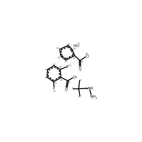 CC(C)(C)NN.Cl.O=C(Cl)c1c(F)cccc1F.O=C(Cl)c1ccccc1